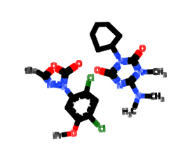 CC(C)Oc1cc(-n2nc(C(C)(C)C)oc2=O)c(Cl)cc1Cl.CN(C)c1nc(=O)n(C2CCCCC2)c(=O)n1C